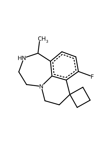 CC1NCCN2CCC3(CCC3)c3c(F)ccc1c32